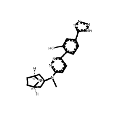 CN(c1ccc(-c2ccc(-c3nnn[nH]3)cc2O)nn1)C1C[C@H]2CC[C@@H](C1)N2